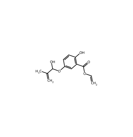 C=COC(=O)c1cc(OC(O)C(=C)C)ccc1O